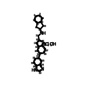 Cl.Cl.c1ccc2c(c1)CC(NCc1cc3cc(-c4ccc5[nH]cnc5c4)ccc3s1)C2